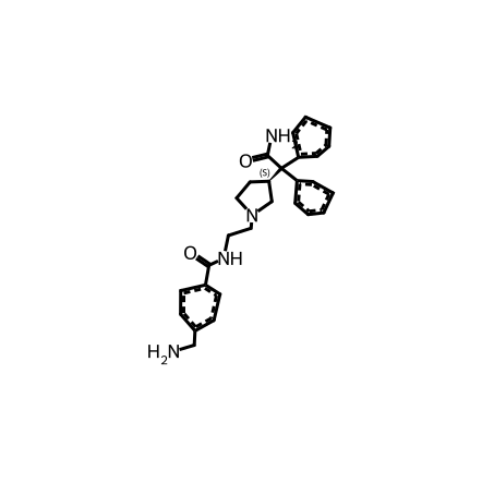 NCc1ccc(C(=O)NCCN2CC[C@@H](C(C(N)=O)(c3ccccc3)c3ccccc3)C2)cc1